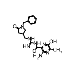 Cc1nc(N)c(C(=O)NC(=N)NCC2CC(=O)N(Cc3ccccc3)C2)nc1O